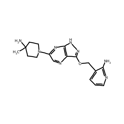 CC1(N)CCN(c2cnc3c(OCc4cccnc4N)n[nH]c3n2)CC1